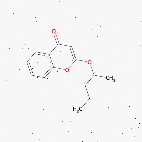 CCCC(C)Oc1cc(=O)c2ccccc2o1